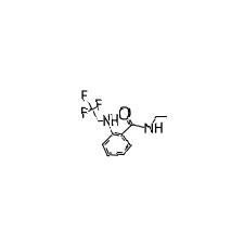 CCNC(=O)c1ccccc1NCC(F)(F)F